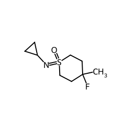 CC1(F)CCS(=O)(=NC2CC2)CC1